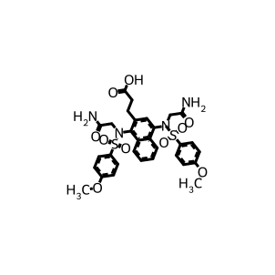 COc1ccc(S(=O)(=O)N(CC(N)=O)c2cc(CCC(=O)O)c(N(CC(N)=O)S(=O)(=O)c3ccc(OC)cc3)c3ccccc23)cc1